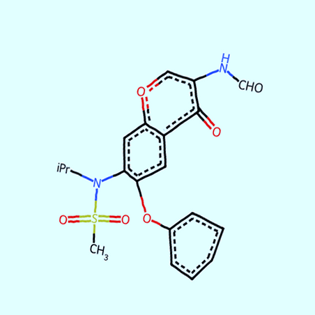 CC(C)N(c1cc2occ(NC=O)c(=O)c2cc1Oc1ccccc1)S(C)(=O)=O